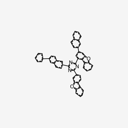 c1ccc(-c2ccc3cc(-c4nc(-c5ccc6c(c5)oc5ccccc56)nc(-c5cc(-c6ccc7ccccc7c6)cc6oc7ccccc7c56)n4)ccc3c2)cc1